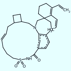 C=CC1=C(/C=C\C)C2(CCC1)COc1ccc3cc1N(CC1CCC1C/C=C/CCCS(=O)(=O)NC3=O)C2